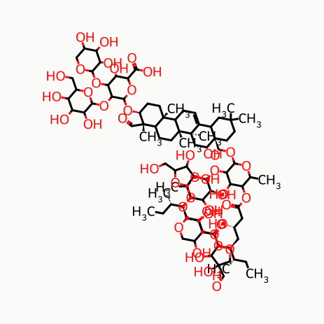 CC[C@H](C)[C@H](C[C@H](O)CC(=O)OC1C(C)OC(OC(=O)[C@]23CCC(C)(C)CC2C2=CCC4[C@@]5(C)CC[C@H](OC6OC(C(=O)O)C(O)C(OC7OCC(O)C(O)C7O)C6OC6OC(CO)C(O)C(O)C6O)[C@@](C)(C=O)C5CC[C@@]4(C)[C@]2(C)C[C@H]3O)C(OC2OC(C)C(OC3OCC(O)C(OC4OCC(O)(CO)C4O)C3O)C(O)C2O)C1O)OC(=O)C[C@@H](O)C[C@H](OC1OC(CO)C(O)C1O)[C@@H](C)CC